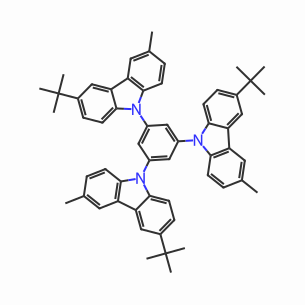 Cc1ccc2c(c1)c1cc(C(C)(C)C)ccc1n2-c1cc(-n2c3ccc(C)cc3c3cc(C(C)(C)C)ccc32)cc(-n2c3ccc(C)cc3c3cc(C(C)(C)C)ccc32)c1